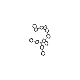 c1ccc(-c2ccc(N(c3ccc(-c4ccccc4)cc3)c3ccc(-c4cccc(-c5ccc6oc7ccc(-c8cccc9ccccc89)cc7c6c5)c4)c4ccccc34)cc2)cc1